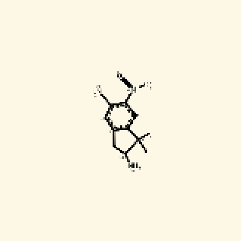 CC1(C)c2cc([N+](=O)[O-])c(N)cc2CC1N